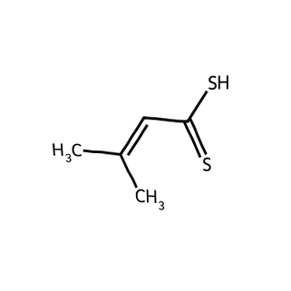 CC(C)=CC(=S)S